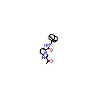 CC(=O)c1cn2c(C(=O)NCC34CC5CC(CC(C5)C3)C4)cccc2n1